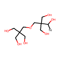 [2H]C(O)C(CO)(CO)COCC(CO)(CO)CO